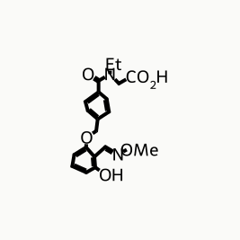 CCN(CC(=O)O)C(=O)c1ccc(COc2cccc(O)c2/C=N/OC)cc1